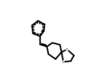 C(=C1CCC2(CC1)OCCO2)c1ccccc1